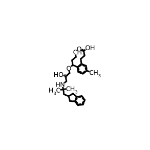 CCCC(OC[C@H](O)CNC(C)(C)CC1Cc2ccccc2C1)c1ccc(C)cc1CCC(=O)O